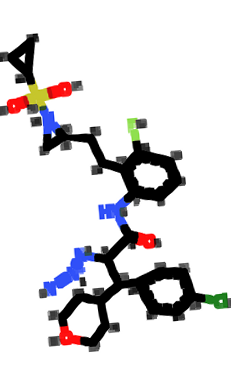 [N-]=[N+]=NC(C(=O)Nc1cccc(F)c1CC[C@H]1CN1S(=O)(=O)C1CC1)C(c1ccc(Cl)cc1)C1CCOCC1